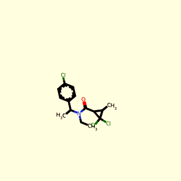 CCN(C(=O)C1C(C)C1(Cl)Cl)C(C)c1ccc(Cl)cc1